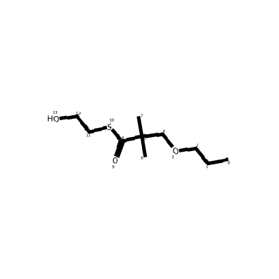 CCCOCC(C)(C)C(=O)SCCO